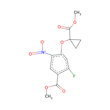 COC(=O)c1cc([N+](=O)[O-])c(OC2(C(=O)OC)CC2)cc1F